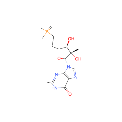 C=P(C)(C)CCC1O[C@@H](n2cnc3c(=O)[nH]c(C)nc32)[C@@](C)(O)[C@@H]1O